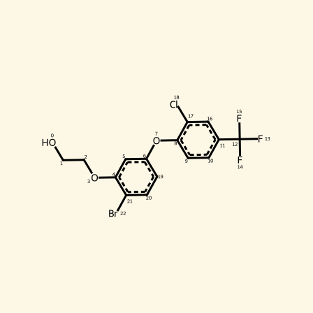 OCCOc1cc(Oc2ccc(C(F)(F)F)cc2Cl)ccc1Br